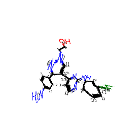 Nc1ccc(-c2nn(CCO)cc2-c2ccnc(Nc3cccc(F)c3)n2)cc1